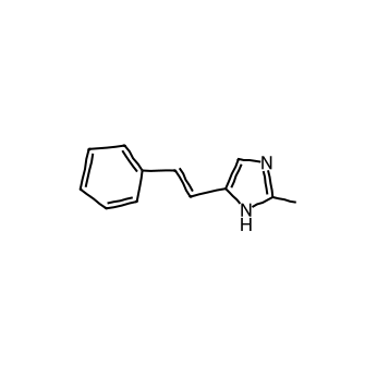 Cc1ncc(C=Cc2ccccc2)[nH]1